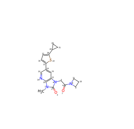 Cn1c(=O)n(CC(=O)N2CCC2)c2cc(-c3ccc(C4CC4)s3)cnc21